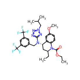 CCOC(=O)N1c2ccc(OC)cc2[C@@H](N(Cc2cc(C(F)(F)F)cc(C(F)(F)F)c2)c2nnn(CC(C)C)n2)CC1CC